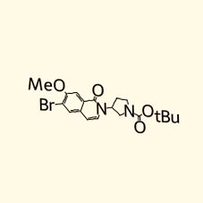 COc1cc2c(=O)n(C3CCN(C(=O)OC(C)(C)C)C3)ccc2cc1Br